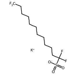 O=S(=O)([O-])C(F)(F)CCCCCCCCCCC(F)(F)F.[K+]